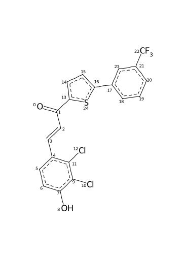 O=C(/C=C/c1ccc(O)c(Cl)c1Cl)c1ccc(-c2cccc(C(F)(F)F)c2)s1